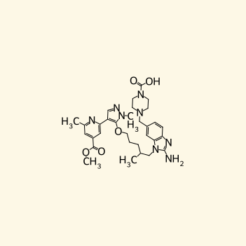 COC(=O)c1cc(C)nc(-c2cnn(C)c2OCCCC(C)Cn2c(N)nc3ccc(CN4CCN(C(=O)O)CC4)cc32)c1